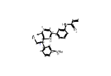 C=CC(=O)Nc1cccc(-c2cnc(C)c(/C(=C\CC)c3cccc(SC)c3)n2)c1